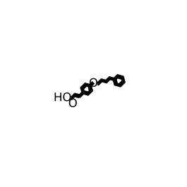 O=C(O)/C=C/c1ccc(OCCCCc2ccccc2)cc1